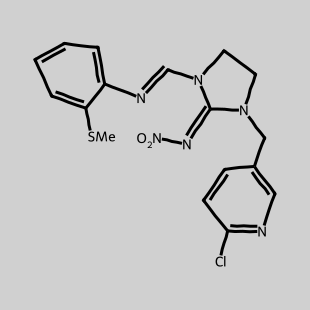 CSc1ccccc1N=CN1CCN(Cc2ccc(Cl)nc2)C1=N[N+](=O)[O-]